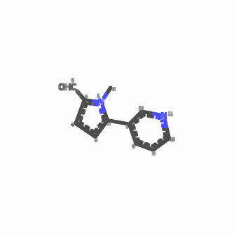 Cn1c(C=O)ccc1-c1cccnc1